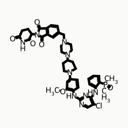 COc1cc(N2CCC(N3CCN(Cc4ccc5c(c4)C(=O)N(C4CCC(=O)NC4=O)C5=O)CC3)CC2)ccc1Nc1ncc(Cl)c(Nc2ccccc2P(C)(C)=O)n1